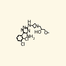 COCC(O)CN1CC(Nc2nnc(-c3cccc(Cl)c3Cl)c(N)n2)C1